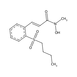 CCCCS(=O)(=O)c1ccccc1C=CC(=O)N(C)O